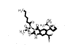 CCCCCC(=O)N(n1c(=O)[nH]c2cc(C(F)F)c(-c3ccnn3C(C)C)cc2c1=O)S(C)(=O)=O